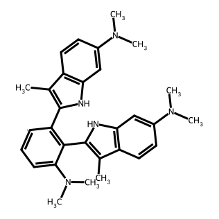 Cc1c(-c2[c]ccc(N(C)C)c2-c2[nH]c3cc(N(C)C)ccc3c2C)[nH]c2cc(N(C)C)ccc12